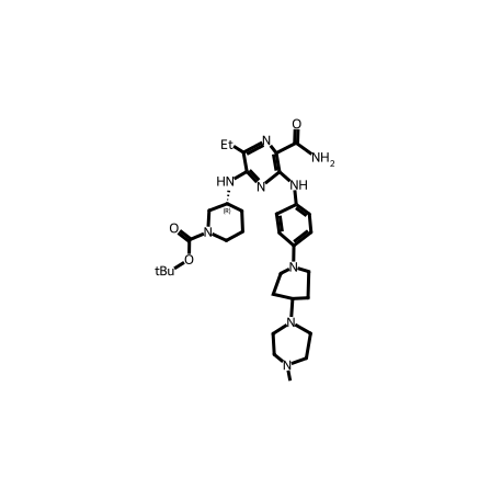 CCc1nc(C(N)=O)c(Nc2ccc(N3CCC(N4CCN(C)CC4)CC3)cc2)nc1N[C@@H]1CCCN(C(=O)OC(C)(C)C)C1